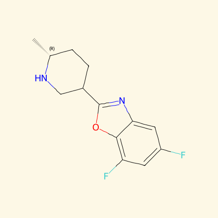 C[C@@H]1CCC(c2nc3cc(F)cc(F)c3o2)CN1